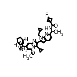 COc1cc(C(=O)N2[C@H]3CC[C@@H]2[C@H](N)C3)cc2nc(-c3cc4ccc([C@@H](C)NC(=O)C56CC(F)(C5)C6)nc4n3CC3CC3)c(C3CC3)n12